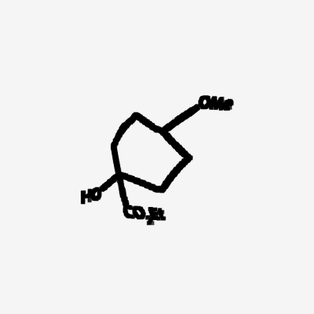 CCOC(=O)C1(O)CCC(OC)CC1